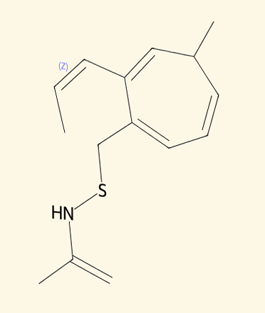 C=C(C)NSCC1=CC=CC(C)C=C1/C=C\C